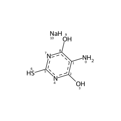 Nc1c(O)nc(S)nc1O.[NaH]